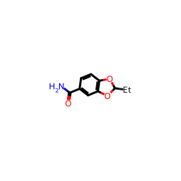 CCC1Oc2ccc(C(N)=O)cc2O1